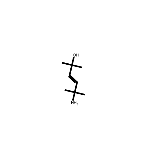 CC(C)(N)C=CC(C)(C)O